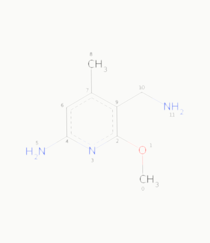 COc1nc(N)cc(C)c1CN